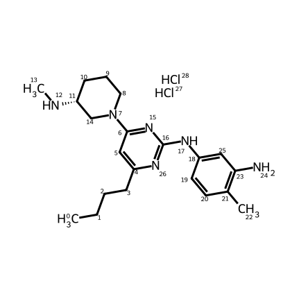 CCCCc1cc(N2CCC[C@@H](NC)C2)nc(Nc2ccc(C)c(N)c2)n1.Cl.Cl